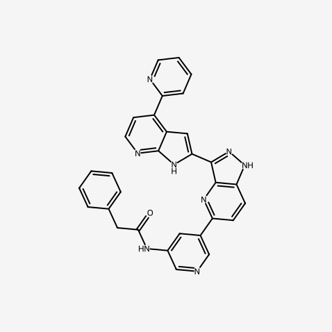 O=C(Cc1ccccc1)Nc1cncc(-c2ccc3[nH]nc(-c4cc5c(-c6ccccn6)ccnc5[nH]4)c3n2)c1